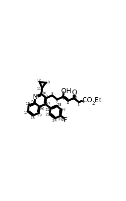 CCOC(=O)CC(=O)C=C(O)CCc1c(C2CC2)nc2ccccc2c1-c1ccc(F)cc1